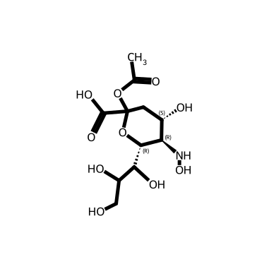 CC(=O)OC1(C(=O)O)C[C@H](O)[C@@H](NO)[C@H](C(O)C(O)CO)O1